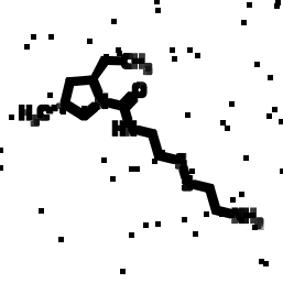 CC[C@@H]1C[C@@H](C)CN1C(=O)NCCSSCCN